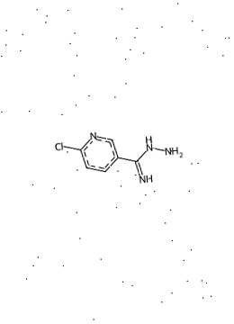 N=C(NN)c1ccc(Cl)nc1